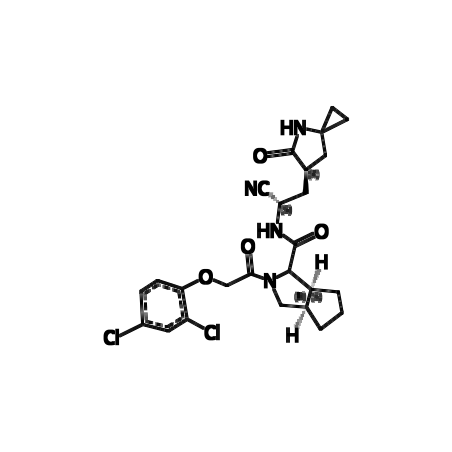 N#C[C@H](C[C@@H]1CC2(CC2)NC1=O)NC(=O)C1[C@H]2CCC[C@H]2CN1C(=O)COc1ccc(Cl)cc1Cl